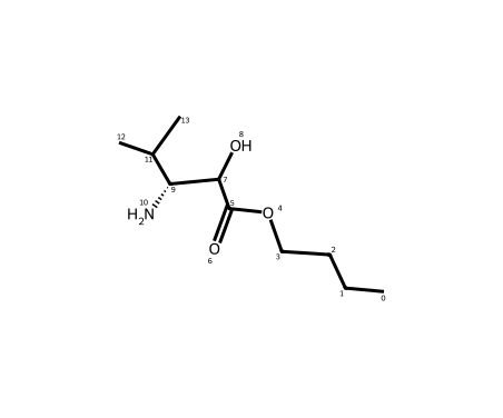 CCCCOC(=O)C(O)[C@H](N)C(C)C